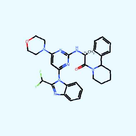 C[C@H](Nc1nc(N2CCOCC2)cc(-n2c(C(F)F)nc3ccccc32)n1)C(=O)N1CCCCC1c1ccccc1